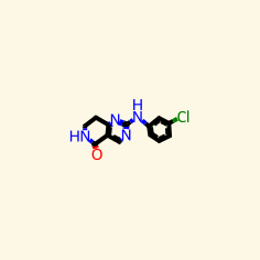 O=C1NCCc2nc(Nc3cccc(Cl)c3)ncc21